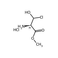 COC(=O)[C@@H](N)C(O)Cl.Cl